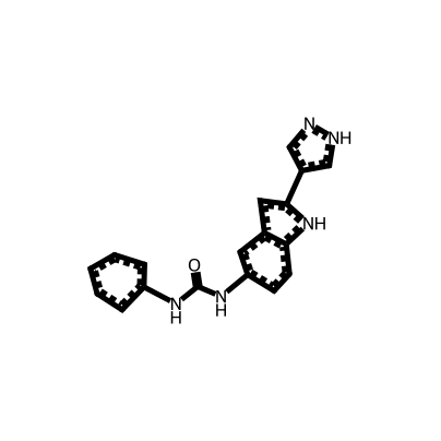 O=C(Nc1ccccc1)Nc1ccc2[nH]c(-c3cn[nH]c3)cc2c1